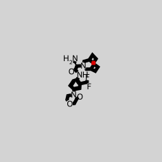 NC[C@H](C(=O)Nc1ccc(N2CCOCC2=O)cc1C(F)F)N(CC1CCC1)CC1CCC1